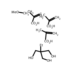 C=C(C)C(=O)O.C=C(C)C(=O)O.C=C(C)C(=O)O.CCC(CO)(CO)CO.COC